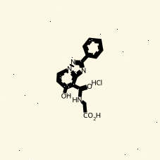 Cl.O=C(O)CNC(=O)c1c(O)ccn2nc(-c3ccccc3)nc12